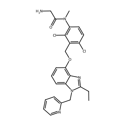 CCc1nc2c(OCc3c(Cl)ccc(N(C)C(=O)CN)c3Cl)cccc2n1Cc1ccccn1